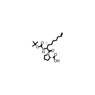 C=CCCCC[C@@H](C)C(NC(=O)OC(C)(C)C)C(=O)N1CCC[C@H]1C(=O)O